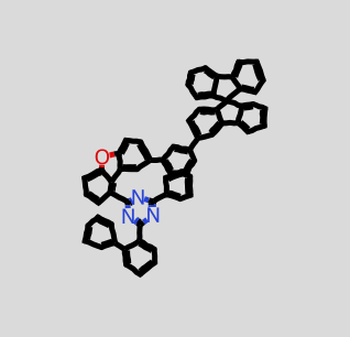 c1ccc(-c2nc(-c3ccccc3-c3ccccc3)nc(-c3cccc4oc5ccc(-c6cccc(-c7ccc8c(c7)-c7ccccc7C87c8ccccc8-c8ccccc87)c6)cc5c34)n2)cc1